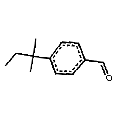 CCC(C)(C)c1ccc(C=O)cc1